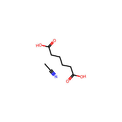 CC#N.O=C(O)CCCCC(=O)O